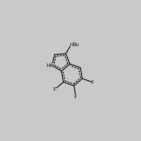 CCCCc1c[nH]c2c(F)c(F)c(F)cc12